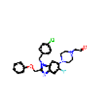 O=CCN1CCN(c2cc3c(cc2F)nc(COc2ccccc2)n3Cc2ccc(Cl)cc2)CC1